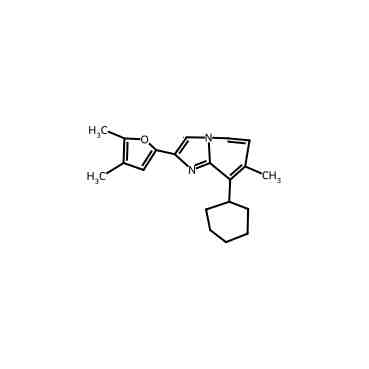 Cc1cc(-c2[c]n3ccc(C)c(C4CCCCC4)c3n2)oc1C